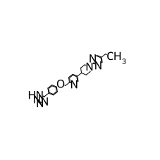 CCc1cnc(N2CCC(c3ccc(COc4ccc(-c5nnn[nH]5)cc4)nc3)CC2)nc1